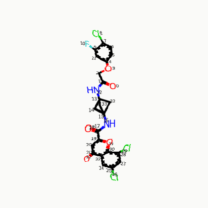 O=C(COc1ccc(Cl)c(F)c1)NC12CC(NC(=O)c3cc(=O)c4cc(Cl)cc(Cl)c4o3)(C1)C2